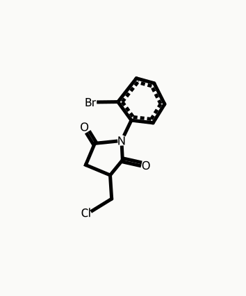 O=C1CC(CCl)C(=O)N1c1ccccc1Br